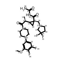 COc1cc(N2CCN(C(=O)[C@@H](C)C3C[C@@]3(CN3CCC(F)(F)C3)C(=O)NC(N)=O)CC2)cc(F)c1F